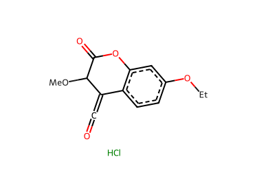 CCOc1ccc2c(c1)OC(=O)C(OC)C2=C=O.Cl